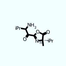 CC(C)C(N)C(=O)C1=N[C@@](C)(C(C)C)C(=O)O1